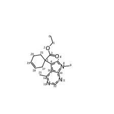 CCOC(=O)C1(c2cn(C)c3ncnc(C)c23)CC=CCC1